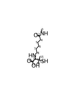 CNC(=O)CCCCCNC(C(=O)O)C(C)(C)S